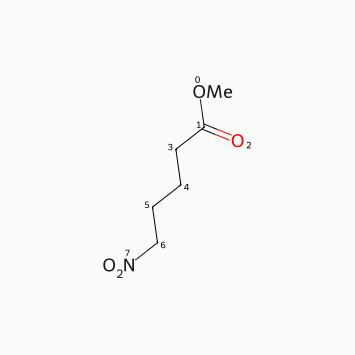 COC(=O)CCCC[N+](=O)[O-]